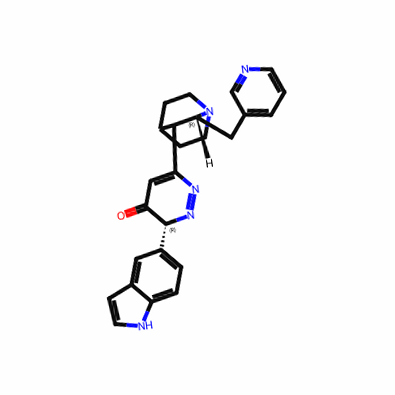 O=C1C=C(C2C3CCN(CC3)[C@@H]2Cc2cccnc2)N=N[C@@H]1c1ccc2[nH]ccc2c1